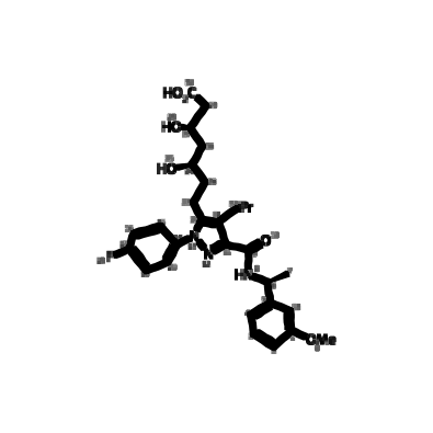 COc1cccc([C@H](C)NC(=O)c2nn(-c3ccc(F)cc3)c(CC[C@@H](O)C[C@@H](O)CC(=O)O)c2C(C)C)c1